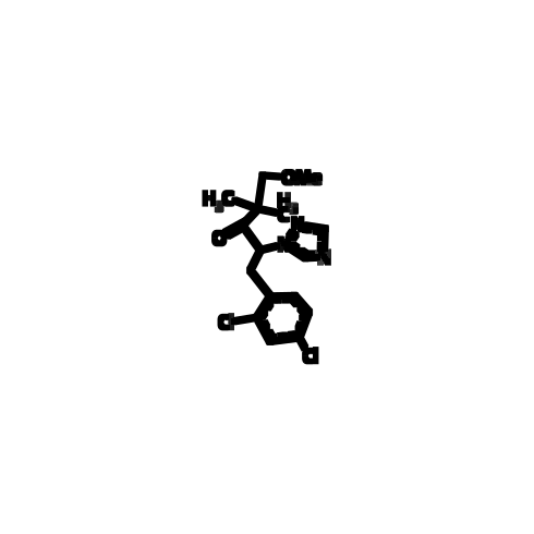 COCC(C)(C)C(=O)C(Cc1ccc(Cl)cc1Cl)n1cncn1